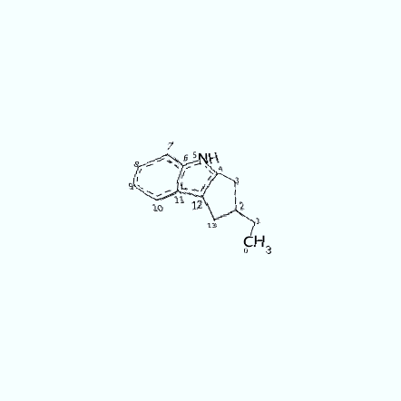 CCC1Cc2[nH]c3ccccc3c2C1